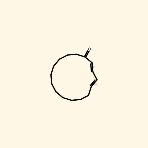 O=C1/C=C/C=C/CCCCCCCCCCC1